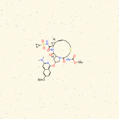 COc1ccc2c(OC3C[C@H]4C(=O)N[C@]5(C(=O)NS(=O)(=O)C6CC6)C[C@H]5/C=C\CCCSC[C@H](NC(=O)OC(C)(C)C)C(=O)N4C3)nc(N(C)C)cc2c1